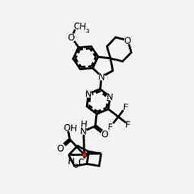 COc1ccc2c(c1)C1(CCOCC1)CN2c1ncc(C(=O)NC2(C(=O)O)CC3CC4CC2CC43C)c(C(F)(F)F)n1